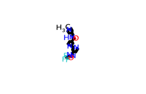 CN1CCC(CNC(=O)c2ccnc(-c3cc(-c4noc(C(F)(F)F)n4)ccn3)c2)CC1